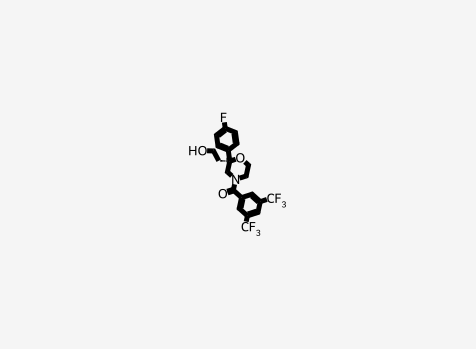 O=C(c1cc(C(F)(F)F)cc(C(F)(F)F)c1)N1CCO[C@](CCO)(c2ccc(F)cc2)C1